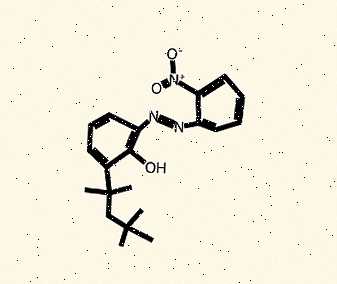 CC(C)(C)CC(C)(C)c1cccc(N=Nc2ccccc2[N+](=O)[O-])c1O